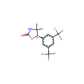 CC1(C)NC(=O)O[C@@H]1c1cc(C(F)(F)F)cc(C(F)(F)F)c1